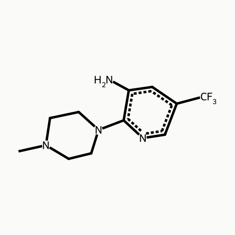 CN1CCN(c2ncc(C(F)(F)F)cc2N)CC1